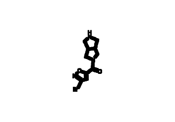 O=C(c1cc(Br)no1)N1CC2CNCC2C1